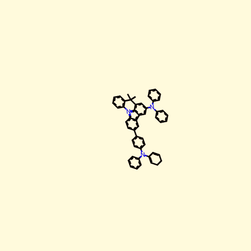 CC1(C)c2ccccc2-n2c3ccc(-c4ccc(N(C5=CCCC=C5)c5ccccc5)cc4)cc3c3cc(N(c4ccccc4)c4ccccc4)cc1c32